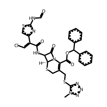 Cn1nnnc1SCC1=C(C(=O)OC(c2ccccc2)c2ccccc2)N2C(=O)C(NC(=O)C(=CCl)c3csc(NC=O)n3)[C@@H]2SC1